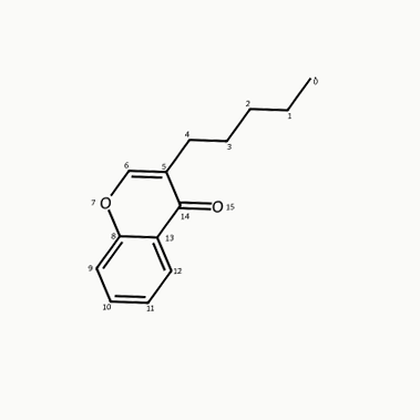 [CH2]CCCCc1coc2ccccc2c1=O